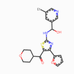 CCc1cncc(C(O)Nc2nc(-c3ccco3)c(C(=O)C3CCOCC3)s2)c1